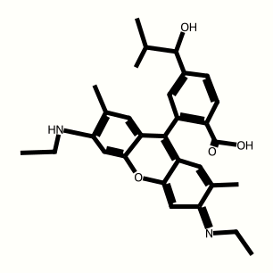 CC/N=c1/cc2oc3cc(NCC)c(C)cc3c(-c3cc(C(O)C(C)C)ccc3C(=O)O)c-2cc1C